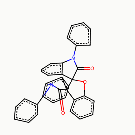 O=C1N(c2ccccc2)c2ccccc2C12Oc1ccccc1C21C(=O)N(c2ccccc2)c2ccccc21